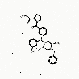 COC(=O)[C@@H]1CCCN1C(=O)c1cccc([C@H](c2cccc(O)c2)N2C[C@@H](C)N(Cc3ccccc3)C[C@@H]2C)c1